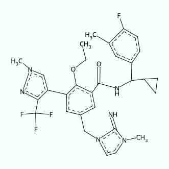 CCOc1c(C(=O)NC(c2ccc(F)c(C)c2)C2CC2)cc(Cn2ccn(C)c2=N)cc1-c1cn(C)nc1C(F)(F)F